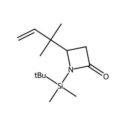 C=CC(C)(C)C1CC(=O)N1[Si](C)(C)C(C)(C)C